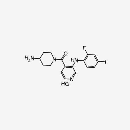 Cl.NC1CCN(C(=O)c2ccncc2Nc2ccc(I)cc2F)CC1